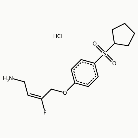 Cl.NC/C=C(/F)COc1ccc(S(=O)(=O)C2CCCC2)cc1